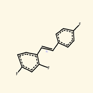 Fc1ccc(/C=C/c2ccc(F)cc2F)cc1